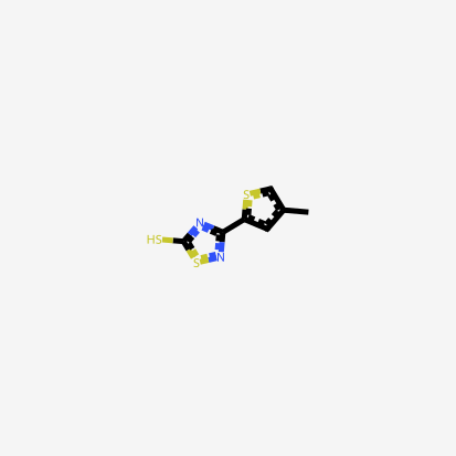 Cc1csc(-c2nsc(S)n2)c1